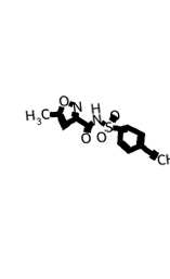 C#Cc1ccc(S(=O)(=O)NC(=O)c2cc(C)on2)cc1